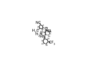 Cc1cc(C#N)ccc1C(N)C1=C(Nc2cccc(C(F)(F)F)c2)CCCC1=O.Cl